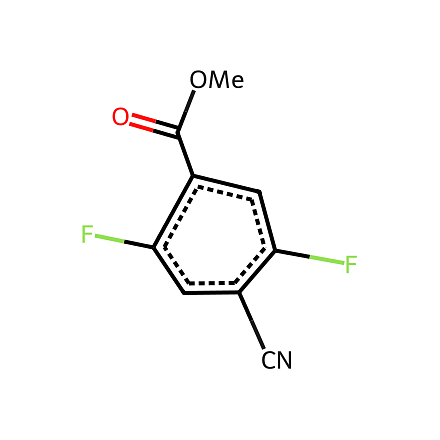 COC(=O)c1cc(F)c(C#N)cc1F